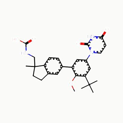 COc1c(-c2ccc3c(c2)CCC3(C)CNC(=O)O)cc(-n2ccc(=O)[nH]c2=O)cc1C(C)(C)C